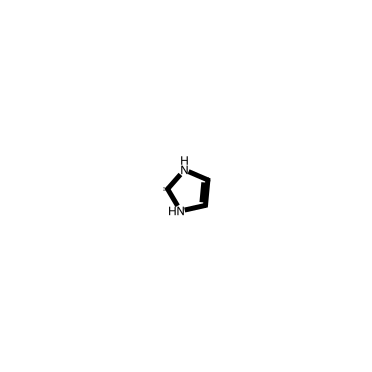 [C]1NC=CN1